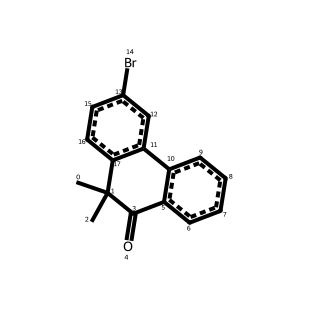 CC1(C)C(=O)c2ccccc2-c2cc(Br)ccc21